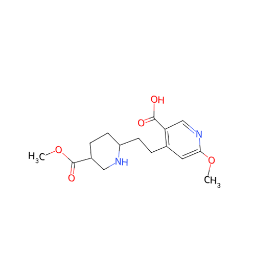 COC(=O)C1CCC(CCc2cc(OC)ncc2C(=O)O)NC1